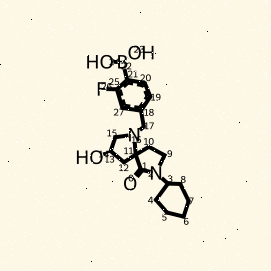 O=C1N(C2CCCCC2)CCC12C[C@@H](O)CN2Cc1ccc(B(O)O)c(F)c1